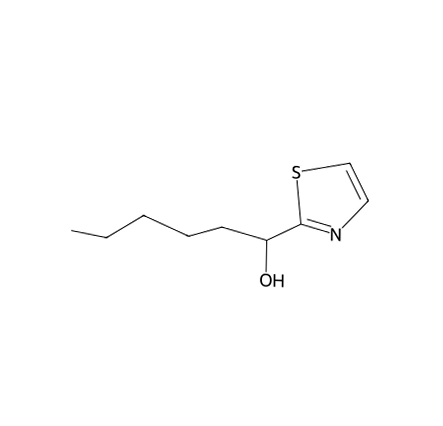 CCCCCC(O)c1nccs1